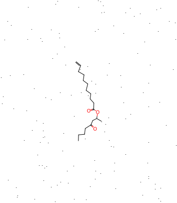 C=CCCCCCCCCC(=O)OC(C)CC(=O)CCCC